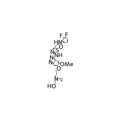 COc1cc2c(Nc3ncc(CC(=O)Nc4cccc(F)c4F)s3)ncnc2cc1OCCCN(CCO)C1CC1